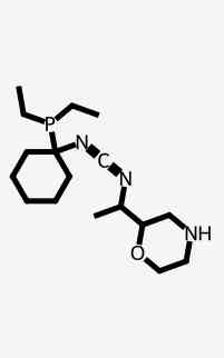 CCP(CC)C1(N=C=NC(C)C2CNCCO2)CCCCC1